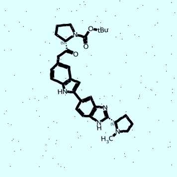 CN1CCC[C@H]1c1nc2cc(-c3cc4cc(CC(=O)[C@@H]5CCCN5C(=O)OC(C)(C)C)ccc4[nH]3)ccc2[nH]1